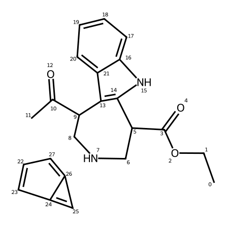 CCOC(=O)C1CNCC(C(C)=O)c2c1[nH]c1ccccc21.c1cc2cc-2c1